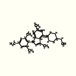 Cc1cc(C)c(-n2cc(C)c3c(N4CCC(CO)CC4)nc(C)nc32)c(C)c1